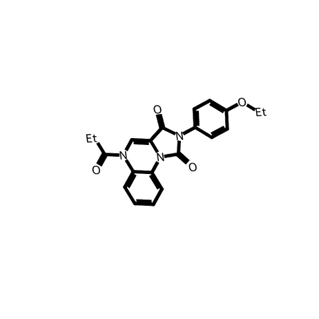 CCOc1ccc(-n2c(=O)c3cn(C(=O)CC)c4ccccc4n-3c2=O)cc1